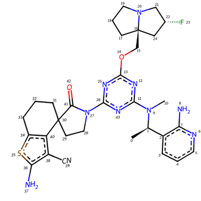 C[C@H](c1cccnc1N)N(C)c1nc(OC[C@@]23CCCN2C[C@H](F)C3)nc(N2CCC3(CCCc4sc(N)c(C#N)c43)C2=O)n1